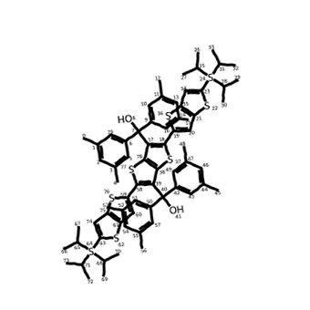 Cc1cc(C)cc(C(O)(c2cc(C)cc(C)c2)c2c(-c3cc4sc(S(C(C)C)(C(C)C)C(C)C)cc4s3)sc3c(C(O)(c4cc(C)cc(C)c4)c4cc(C)cc(C)c4)c(-c4cc5sc(S(C(C)C)(C(C)C)C(C)C)cc5s4)sc23)c1